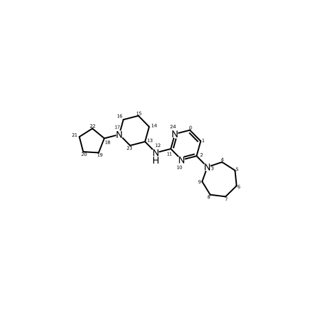 c1cc(N2CCCCCC2)nc(NC2CCCN(C3CCCC3)C2)n1